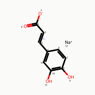 O=C([O-])/C=C/c1ccc(O)c(O)c1.[Na+]